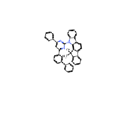 CC1(C)c2ccccc2-c2ccc3c4ccccc4n(-c4nc(-c5ccccc5)cc(-c5cccc(-c6ccccc6)c5)n4)c3c21